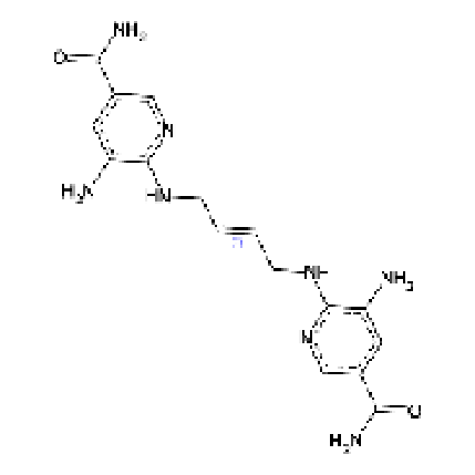 NC(=O)c1cnc(NC/C=C/CNc2ncc(C(N)=O)cc2N)c(N)c1